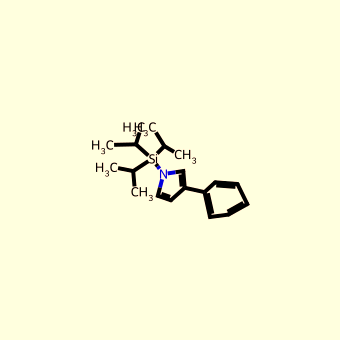 CC(C)[Si](C(C)C)(C(C)C)n1ccc(-c2ccccc2)c1